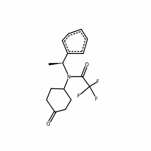 C[C@@H](c1ccccc1)N(C(=O)C(F)(F)F)C1CCC(=O)CC1